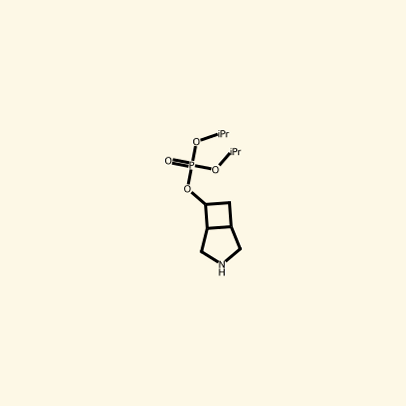 CC(C)OP(=O)(OC(C)C)OC1CC2CNCC21